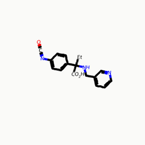 CCC(NCc1cccnc1)(C(=O)O)c1ccc(N=C=O)cc1